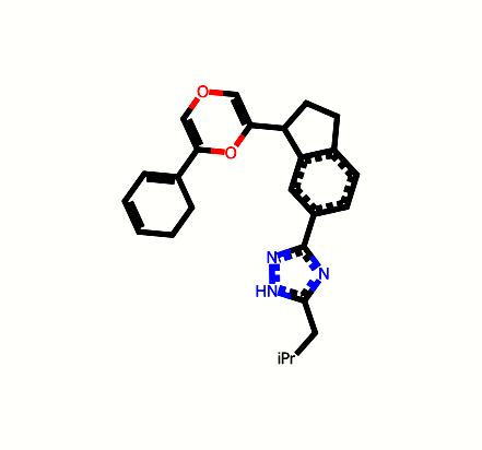 CC(C)Cc1nc(-c2ccc3c(c2)C(C2=COC=C(C4=CC=CCC4)O2)CC3)n[nH]1